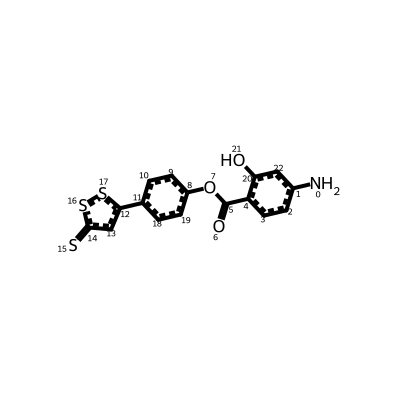 Nc1ccc(C(=O)Oc2ccc(-c3cc(=S)ss3)cc2)c(O)c1